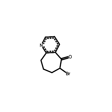 O=C1c2cccnc2CCCC1Br